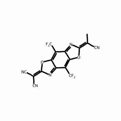 C/C(C#N)=c1\nc2c(C(F)(F)F)c3oc(=C(C#N)C#N)nc3c(C(F)(F)F)c2o1